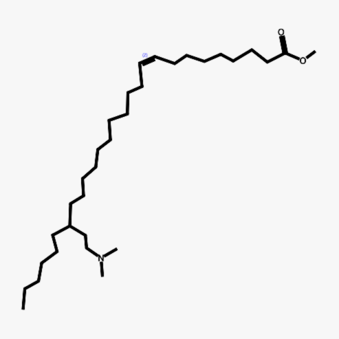 CCCCCCC(CCCCCCCCCC/C=C\CCCCCCCC(=O)OC)CCN(C)C